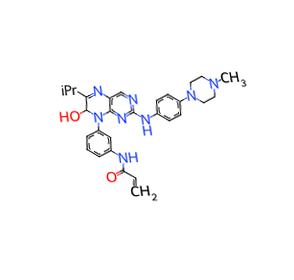 C=CC(=O)Nc1cccc(N2c3nc(Nc4ccc(N5CCN(C)CC5)cc4)ncc3N=C(C(C)C)C2O)c1